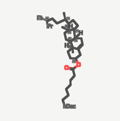 CCCCCCCCCCCCCCCCC(=O)O[C@H]1CC[C@@]2(C)C(=CC[C@H]3[C@@H]4CC[C@H]([C@H](C)CC[C@@H](CC)C(C)C)[C@@]4(C)CC[C@@H]32)C1